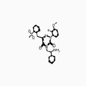 COc1cccc(-n2nc(Cc3ccccc3S(C)(=O)=O)c(=O)n(CC(N)c3ccccc3)c2=O)c1F